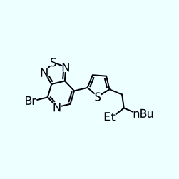 CCCCC(CC)Cc1ccc(-c2cnc(Br)c3nsnc23)s1